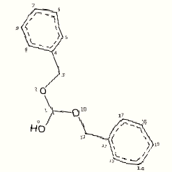 OI(OCc1ccccc1)OCc1ccccc1